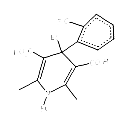 CCN1C(C)=C(C(=O)O)C(CC)(c2ccccc2C(F)(F)F)C(C(=O)O)=C1C